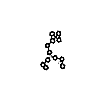 c1ccc(C2(c3ccccc3)c3ccccc3-c3cc(-c4cccc(-c5ccc(N(c6ccc(-c7cccc8ccccc78)cc6)c6ccc(-c7cccc8c7oc7ccccc78)cc6)cc5)c4)ccc32)cc1